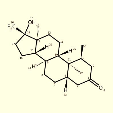 C[C@H]1CC(=O)C[C@@H]2CC[C@@H]3[C@H](CC[C@@]4(C)[C@H]3CC[C@@]4(O)C(F)(F)F)[C@]21C